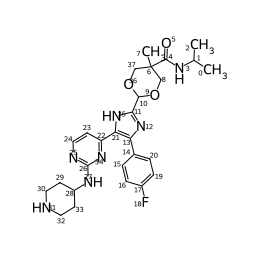 CC(C)NC(=O)C1(C)COC(c2nc(-c3ccc(F)cc3)c(-c3ccnc(NC4CCNCC4)n3)[nH]2)OC1